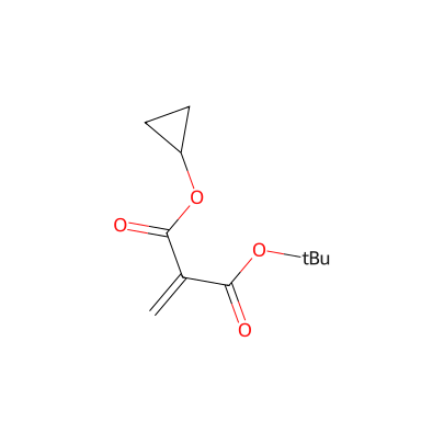 C=C(C(=O)OC1CC1)C(=O)OC(C)(C)C